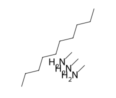 CCCCCCCCCC.CN.CN.CN